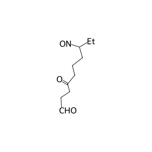 CCC(CCCC(=O)CCC=O)N=O